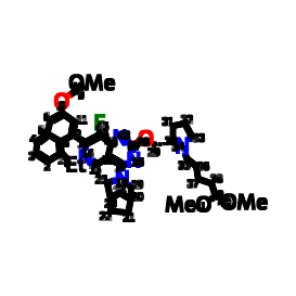 CCc1cccc2cc(OCOC)cc(-c3ncc4c(N5CC6CCC(C6)C5)nc(OC[C@@H]5CCCN5CCCCC(OC)OC)nc4c3F)c12